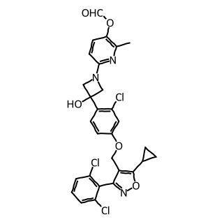 Cc1nc(N2CC(O)(c3ccc(OCc4c(-c5c(Cl)cccc5Cl)noc4C4CC4)cc3Cl)C2)ccc1OC=O